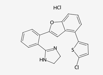 Cl.Clc1ccc(-c2cccc3oc(-c4ccccc4C4=NCCN4)cc23)s1